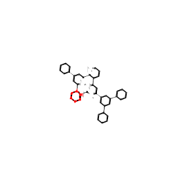 c1ccc(-c2cc(-c3ccccc3)cc(-c3cc(-c4cccnc4-c4cc(-c5ccccc5)cc(-c5ccccn5)n4)nc(-c4ccccc4)n3)c2)cc1